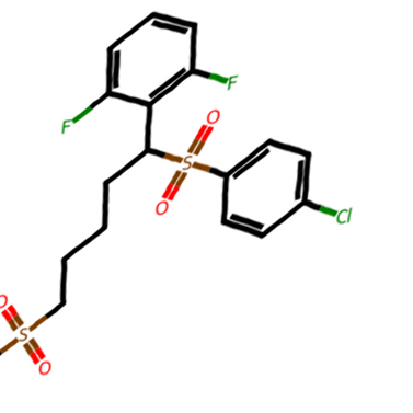 CS(=O)(=O)CCCCC(c1c(F)cccc1F)S(=O)(=O)c1ccc(Cl)cc1